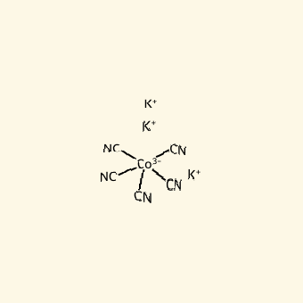 N#[C][Co-3]([C]#N)([C]#N)([C]#N)[C]#N.[K+].[K+].[K+]